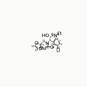 CCN(c1ccc(Cl)cc1CN(Cc1ccco1)C(=O)C(C)(C)C)S(=O)(=O)O